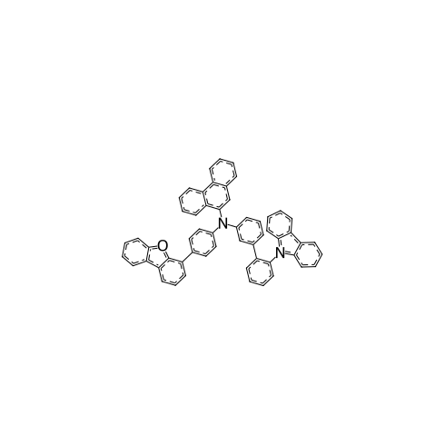 c1cc(-c2ccccc2-n2c3ccccc3c3ccccc32)cc(N(c2ccc(-c3cccc4c3oc3ccccc34)cc2)c2cc3ccccc3c3ccccc23)c1